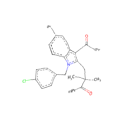 CCCC(=O)C(C)(C)Cc1c(C(=O)C(C)C)c2cc(C(C)C)ccc2n1Cc1ccc(Cl)cc1